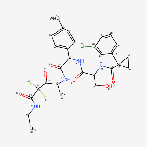 COc1ccc(C(NC(=O)C(CO)NC(=O)C2(c3cccc(Cl)c3)CC2)C(=O)NC(C(=O)C(F)(F)C(=O)NCC(F)(F)F)C(C)C)cc1